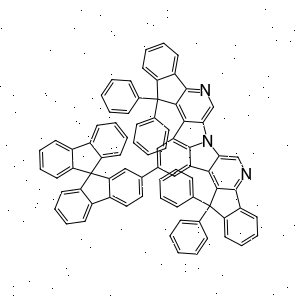 c1ccc(C2(c3ccccc3)c3ccccc3-c3ncc4c(c32)c2cc(-c3ccc5c(c3)C3(c6ccccc6-c6ccccc63)c3ccccc3-5)cc3c5c6c(ncc5n4c23)-c2ccccc2C6(c2ccccc2)c2ccccc2)cc1